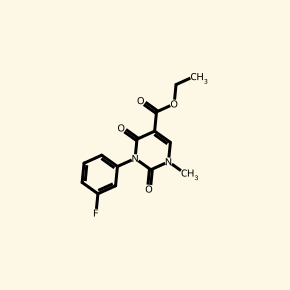 CCOC(=O)c1cn(C)c(=O)n(-c2cccc(F)c2)c1=O